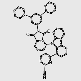 N#Cc1cccc(-c2cccc3c4ccccc4n(-c4cccc5c4C(=O)N(c4cc(-c6ccccc6)cc(-c6ccccc6)c4)C5=O)c23)n1